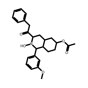 COc1cccc(C2C3CCC(OC(C)=O)CC3CC(C(=O)Cc3ccccc3)N2O)c1